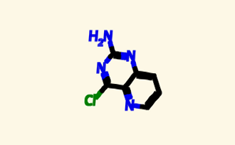 Nc1nc(Cl)c2ncccc2n1